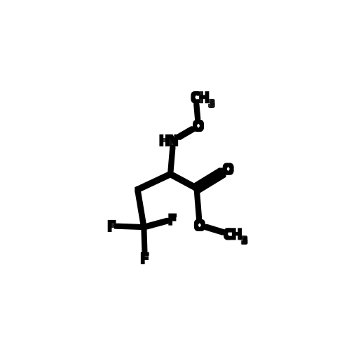 CONC(CC(F)(F)F)C(=O)OC